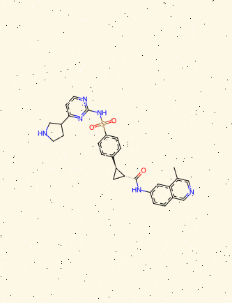 Cc1cncc2ccc(NC(=O)[C@@H]3C[C@H]3c3ccc(S(=O)(=O)Nc4nccc(C5CCNC5)n4)cc3)cc12